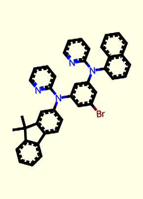 CC1(C)c2ccccc2-c2ccc(N(c3cc(Br)cc(N(c4ccccn4)c4cccc5ccccc45)c3)c3ccccn3)cc21